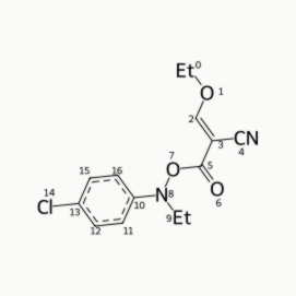 CCOC=C(C#N)C(=O)ON(CC)c1ccc(Cl)cc1